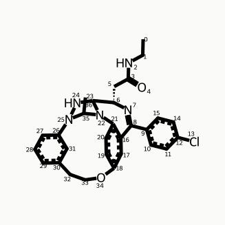 CCNC(=O)C[C@@H]1N=C(c2ccc(Cl)cc2)c2cc3ccc2N2C1NN(c1cccc(c1)CCO3)C2C